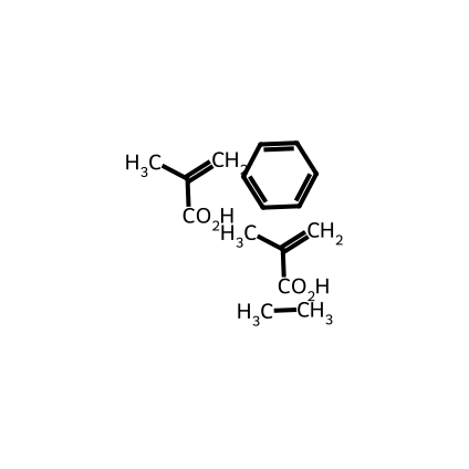 C=C(C)C(=O)O.C=C(C)C(=O)O.CC.c1ccccc1